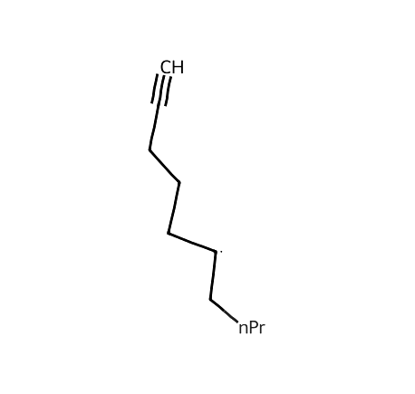 C#CCCC[CH]CCCC